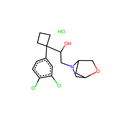 Cl.OC(CN1CC2CC1CO2)C1(c2ccc(Cl)c(Cl)c2)CCC1